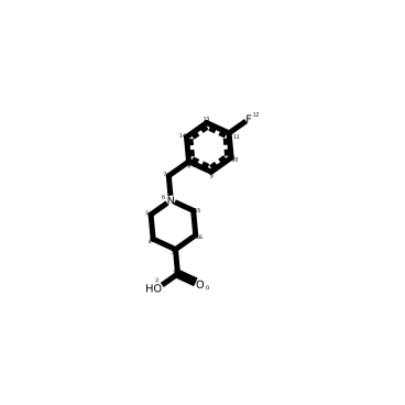 O=C(O)C1CCN(Cc2ccc(F)cc2)CC1